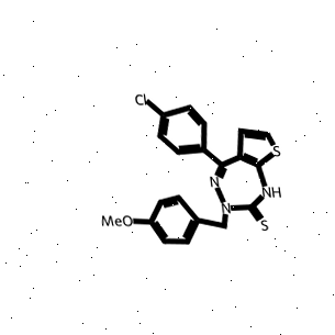 COc1ccc(CN2N=C(c3ccc(Cl)cc3)c3ccsc3NC2=S)cc1